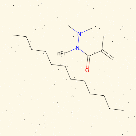 C=C(C)C(=O)N(CCC)N(C)C.CCCCCCCCCCCC